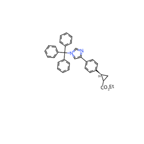 CCOC(=O)C1C[C@@H]1c1ccc(-c2cn(C(c3ccccc3)(c3ccccc3)c3ccccc3)cn2)cc1